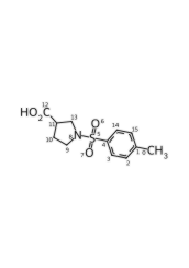 Cc1ccc(S(=O)(=O)N2CCC(C(=O)O)C2)cc1